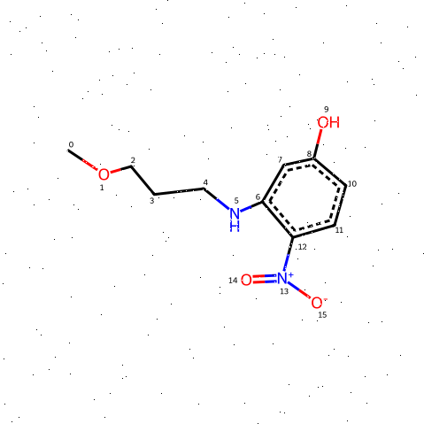 COCCCNc1cc(O)ccc1[N+](=O)[O-]